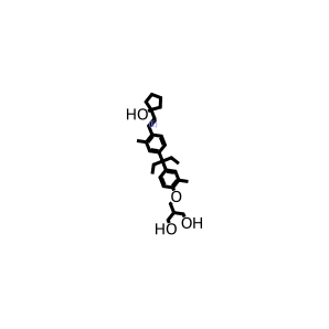 CCC(CC)(c1ccc(/C=C/C2(O)CCCC2)c(C)c1)c1ccc(OCC(CO)CO)c(C)c1